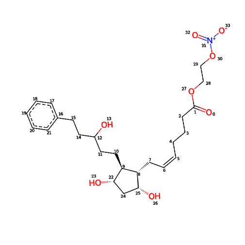 O=C(CCC/C=C\C[C@H]1[C@H](CCC(O)CCc2ccccc2)[C@@H](O)C[C@H]1O)OCCO[N+](=O)[O-]